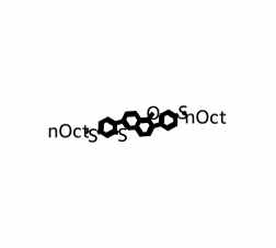 CCCCCCCCSc1ccc2c(c1)oc1c2ccc2c1ccc1c3ccc(SCCCCCCCC)cc3sc12